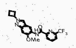 COc1cc2nn(C3CCC3)cc2cc1NC(=O)c1cccc(C(F)(F)F)n1